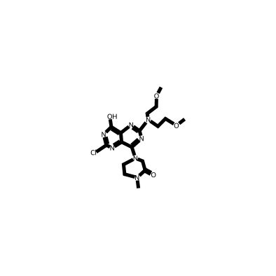 COCCN(CCOC)c1nc(N2CCN(C)C(=O)C2)c2nc(Cl)nc(O)c2n1